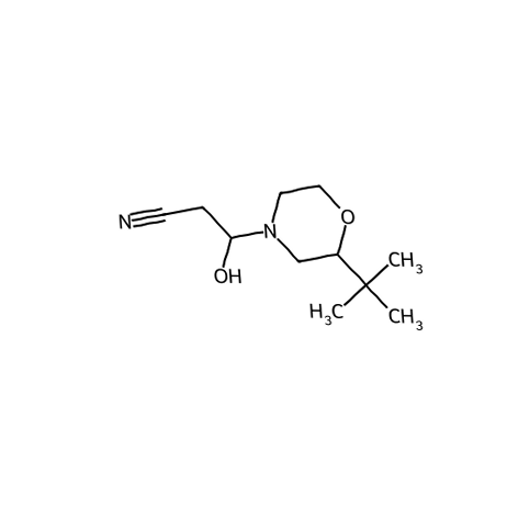 CC(C)(C)C1CN(C(O)CC#N)CCO1